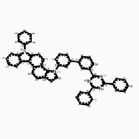 c1ccc(-c2nc(-c3ccccc3)nc(-c3cccc(-c4cccc(-n5ccc6ccc7c(ccc8c7c7ccccc7n8-c7ccccc7)c65)c4)c3)n2)cc1